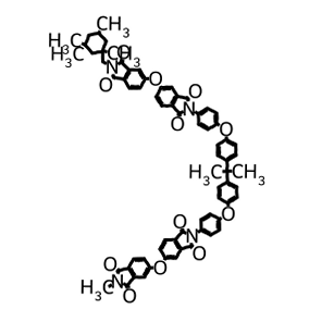 CC1CC(C)(C)CC(C)(CN2C(=O)c3ccc(Oc4ccc5c(c4)C(=O)N(c4ccc(Oc6ccc(C(C)(C)c7ccc(Oc8ccc(N9C(=O)c%10ccc(Oc%11ccc%12c(c%11)C(=O)N(C)C%12=O)cc%10C9=O)cc8)cc7)cc6)cc4)C5=O)cc3C2=O)C1